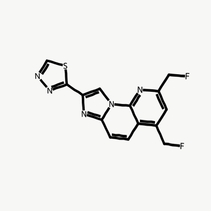 FCc1cc(CF)c2ccc3nc(-c4nncs4)cn3c2n1